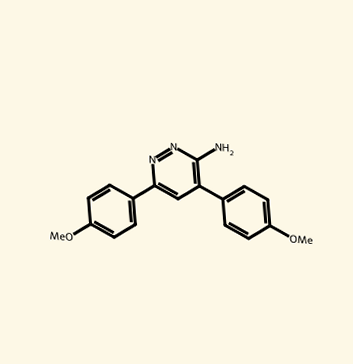 COc1ccc(-c2cc(-c3ccc(OC)cc3)c(N)nn2)cc1